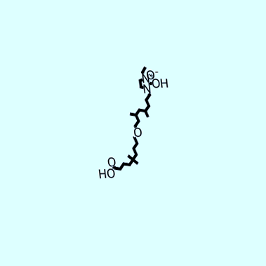 CC[N+]1([O-])CCN(CCCC(C)CC(C)CCOCCCCC(C)(C)CCCC(=O)O)C1O